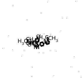 CC(C)c1cccc([C@H]2CC[C@H](c3nnc4n3-c3ccc(Cl)cc3CN(C(=O)OC(C)(C)C)C4)CC2)n1